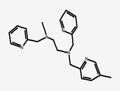 Cc1ccc(CN(CCN(C)Cc2ccccn2)Cc2ccccn2)nc1